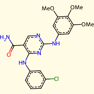 COc1cc(Nc2ncc(C(N)=O)c(Nc3cccc(Cl)c3)n2)cc(OC)c1OC